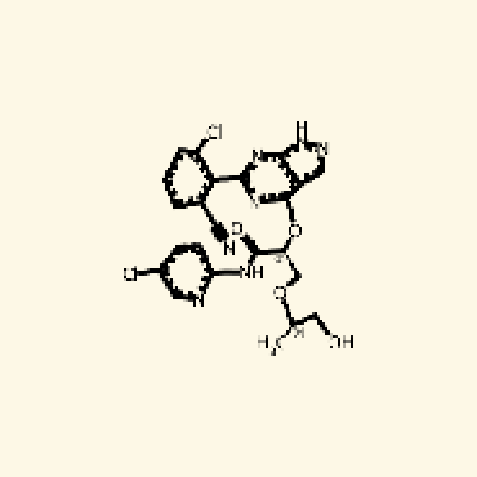 C[C@H](CO)OC[C@H](Oc1nc(-c2c(Cl)cccc2C#N)nc2[nH]ncc12)C(=O)Nc1ccc(Cl)cn1